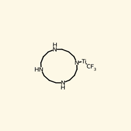 F[C](F)(F)[Ti][N]1CCCNCCCNCCCNCCC1